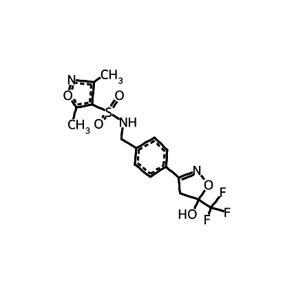 Cc1noc(C)c1S(=O)(=O)NCc1ccc(C2=NOC(O)(C(F)(F)F)C2)cc1